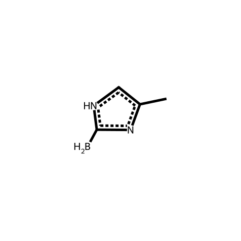 Bc1nc(C)c[nH]1